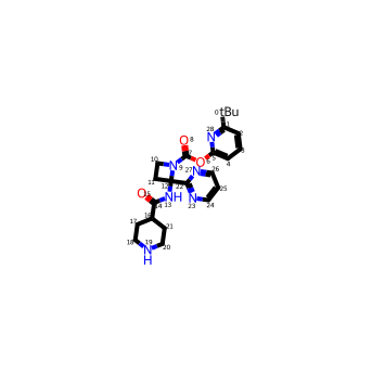 CC(C)(C)c1cccc(OC(=O)N2CCC2(NC(=O)C2CCNCC2)c2ncccn2)n1